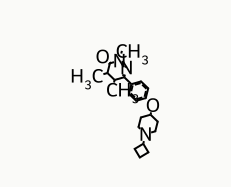 CC1C(=O)N(C)N=C(c2ccc(OC3CCN(C4CCC4)CC3)cc2)C1C